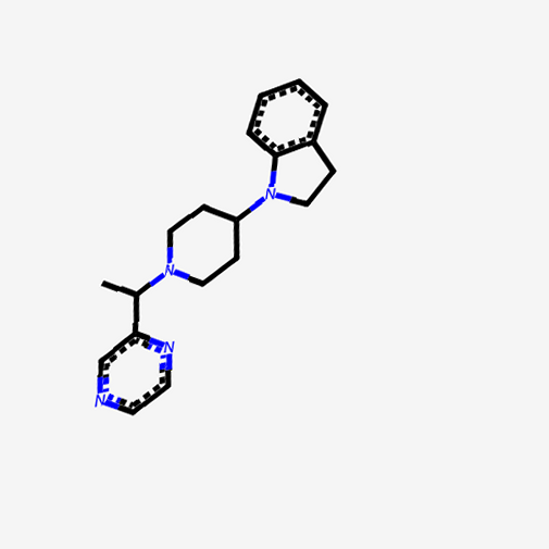 CC(c1cnccn1)N1CCC(N2CCc3ccccc32)CC1